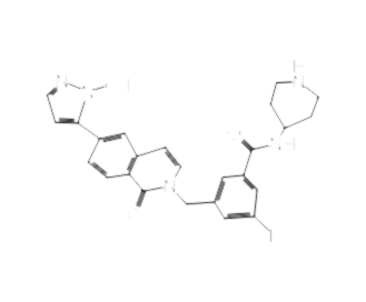 Cn1nccc1-c1ccc2c(=O)n(Cc3cc(F)cc(C(=O)NC4CCNCC4)c3)ccc2c1